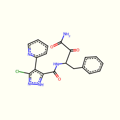 NC(=O)C(=O)C(Cc1ccccc1)NC(=O)c1[nH]nc(Cl)c1-c1ccccn1